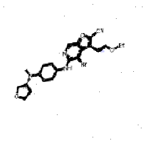 CCO/C=C/c1c(C#N)oc2cnc(NC3CCC(N(C)[C@H]4CCOC4)CC3)c(Br)c12